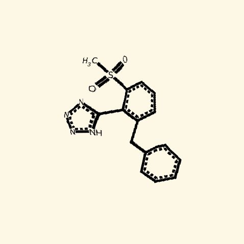 CS(=O)(=O)c1cccc(Cc2ccccc2)c1-c1nnn[nH]1